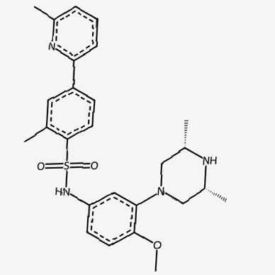 COc1ccc(NS(=O)(=O)c2ccc(-c3cccc(C)n3)cc2C)cc1N1C[C@@H](C)N[C@@H](C)C1